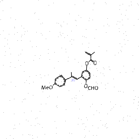 C=C(C)C(=O)Oc1ccc(OC=O)c(/C=C(\C)c2ccc(OC)cc2)c1